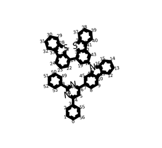 c1ccc(-c2cc(-c3ccc4c5ccccc5n(-c5cc(-c6cccc7c6sc6ccccc67)c6sc7ccccc7c6c5)c4c3)nc(-c3ccccc3)n2)cc1